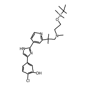 CN(CCO[Si](C)(C)C(C)(C)C)CC(C)(C)c1cc(-c2nc(-c3ccc(Cl)c(O)c3)c[nH]2)ccn1